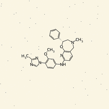 COc1cc(Nc2ccc3c(n2)O[C@H](c2ccccc2)CN(C)C3)ccc1-n1cnc(C)n1